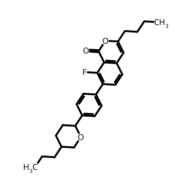 CCCCc1cc2ccc(-c3ccc(C4CCC(CCC)CO4)cc3)c(F)c2c(=O)o1